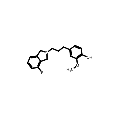 COc1cc(CCCN2Cc3cccc(F)c3C2)ccc1O